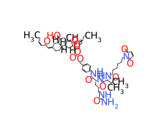 CC/C=C\C(=O)/C=C1/CC[C@@H]2[C@@H](C1)[C@@H](O)CC1(C)[C@H]2C[C@H]2OC(CCC)O[C@]21C(=O)COC(=O)OCc1ccc(NC(=O)[C@H](CCCNC(N)=O)NC(=O)[C@@H](NC(=O)CCCCCN2C(=O)C=CC2=O)C(C)C)cc1